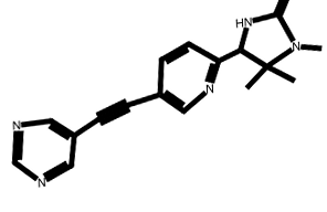 CN1C(=O)NC(c2ccc(C#Cc3cncnc3)cn2)C1(C)C